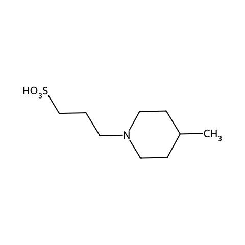 CC1CCN(CCCS(=O)(=O)O)CC1